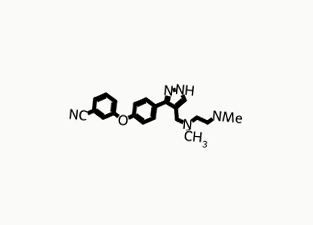 CNCCN(C)Cc1c[nH]nc1-c1ccc(Oc2cccc(C#N)c2)cc1